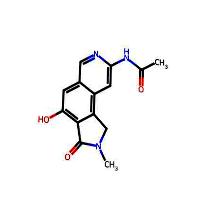 CC(=O)Nc1cc2c3c(c(O)cc2cn1)C(=O)N(C)C3